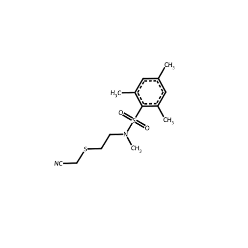 Cc1cc(C)c(S(=O)(=O)N(C)CCSCC#N)c(C)c1